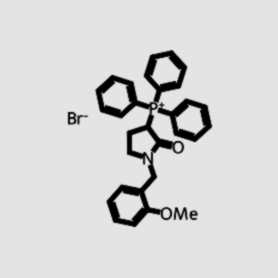 COc1ccccc1CN1CCC([P+](c2ccccc2)(c2ccccc2)c2ccccc2)C1=O.[Br-]